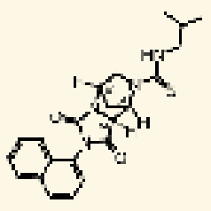 CC(C)CNC(=S)N1C[C@@H]2C[C@H]1[C@H]1C(=O)N(c3cccc4ccccc34)C(=O)N21